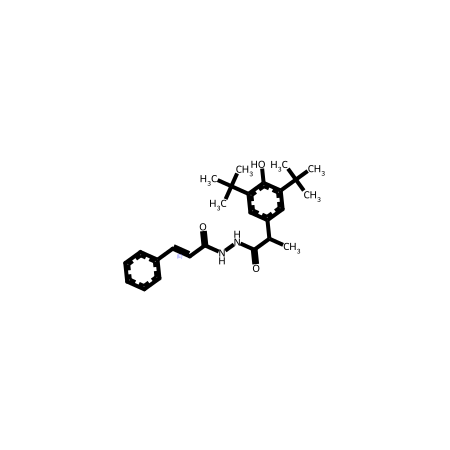 CC(C(=O)NNC(=O)/C=C/c1ccccc1)c1cc(C(C)(C)C)c(O)c(C(C)(C)C)c1